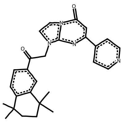 CC1(C)CCC(C)(C)c2cc(C(=O)Cn3ccn4c(=O)cc(-c5ccncc5)nc34)ccc21